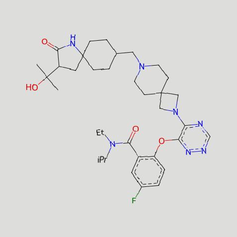 CCN(C(=O)c1cc(F)ccc1Oc1nncnc1N1CC2(CCN(CC3CCC4(CC3)CC(C(C)(C)O)C(=O)N4)CC2)C1)C(C)C